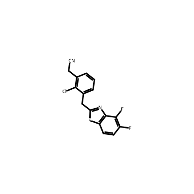 N#CCc1cccc(Cc2nc3c(F)c(F)ccc3s2)c1Cl